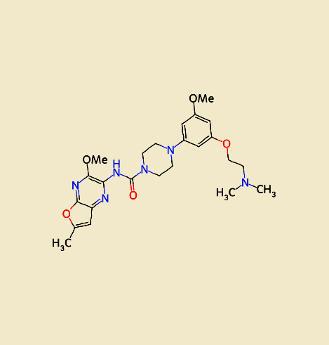 COc1cc(OCCN(C)C)cc(N2CCN(C(=O)Nc3nc4cc(C)oc4nc3OC)CC2)c1